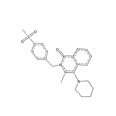 Cc1c(N2CCCCC2)c2ccccc2c(=O)n1Cc1ccc(S(C)(=O)=O)cc1